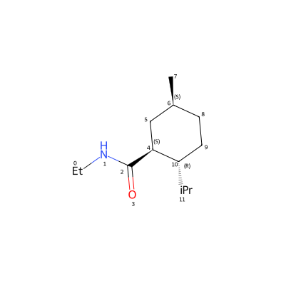 CCNC(=O)[C@H]1C[C@@H](C)CC[C@@H]1C(C)C